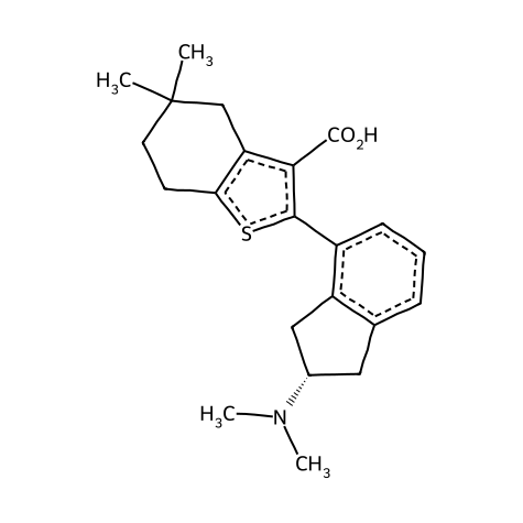 CN(C)[C@H]1Cc2cccc(-c3sc4c(c3C(=O)O)CC(C)(C)CC4)c2C1